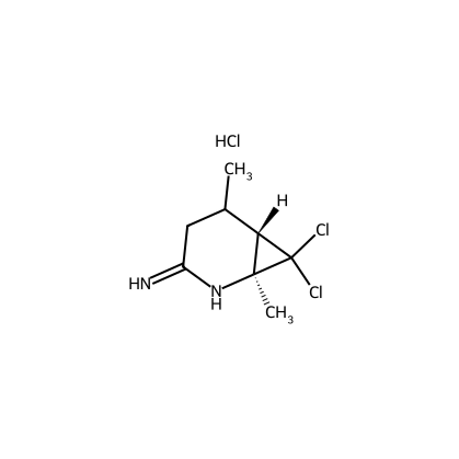 CC1CC(=N)N[C@@]2(C)[C@H]1C2(Cl)Cl.Cl